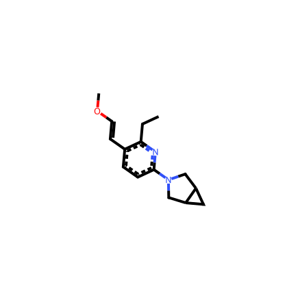 CCc1nc(N2CC3CC3C2)ccc1/C=C/OC